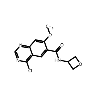 COc1cc2ncnc(Cl)c2cc1C(=O)NC1COC1